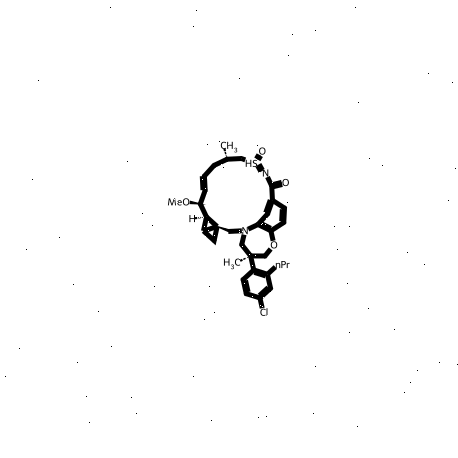 CCCc1cc(Cl)ccc1[C@]1(C)COc2ccc3cc2N(C1)C[C@@]12CC1[C@H]2[C@@H](OC)/C=C/C[C@H](C)C/[SH](=O)=N\C3=O